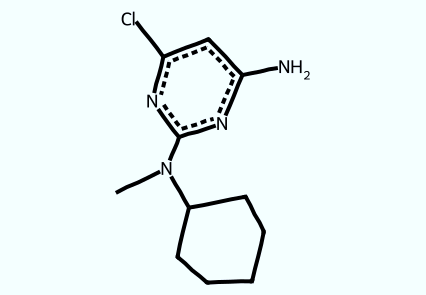 CN(c1nc(N)cc(Cl)n1)C1CCCCC1